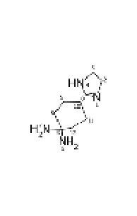 C1=NCCN1.NC1(N)CCCCC1